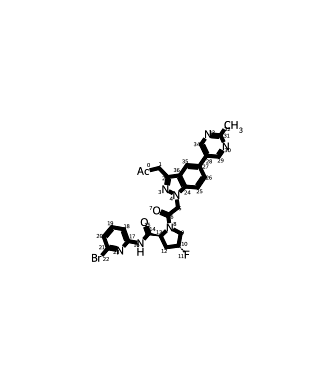 CC(=O)Cc1nn(CC(=O)N2C[C@H](F)C[C@H]2C(=O)Nc2cccc(Br)n2)c2ccc(-c3cnc(C)nc3)cc12